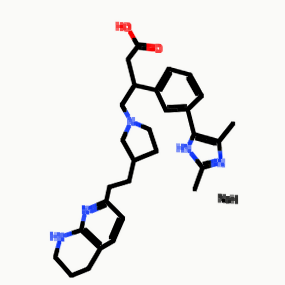 Cc1nc(C)c(-c2cccc(C(CC(=O)O)CN3CCC(CCc4ccc5c(n4)NCCC5)C3)c2)[nH]1.[NaH]